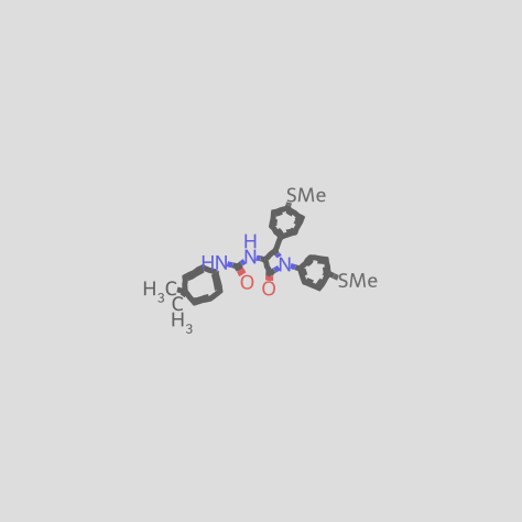 CSc1ccc(C2C(NC(=O)NC3=CC=CC(C)(C)C=C3)C(=O)N2c2ccc(SC)cc2)cc1